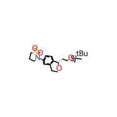 CC(C)(C)[Si](C)(C)OCC[C@@H]1OCCc2cc(N3CCCS3(=O)=O)ccc21